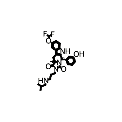 CC(C)CNCCCN1C(=O)N2[C@H](c3cccc(O)c3)c3[nH]c4ccc(OC(F)F)cc4c3C[C@@]2(C)C1=O